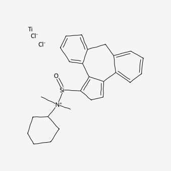 C[N+](C)(C1CCCCC1)[Si](=O)C1=C2C(=CC1)c1ccccc1Cc1ccccc12.[Cl-].[Cl-].[Ti]